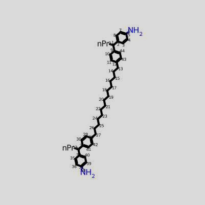 CCCC(c1ccc(N)cc1)c1ccc(CCCCCCCCCCCCCCCc2ccc(C(CCC)c3ccc(N)cc3)cc2)cc1